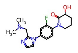 CN(C)Cc1nccn1-c1ccc(N2CCCC(O)C2=O)c(F)c1